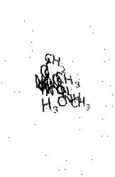 C=CCCOc1nc(-c2cc([C@@H](C)NCC)ncc2OC)nn2ccnc12